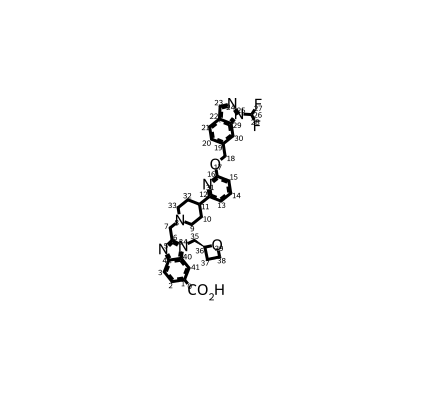 O=C(O)c1ccc2nc(CN3CCC(c4cccc(OCc5ccc6cnn(C(F)F)c6c5)n4)CC3)n(C[C@@H]3CCO3)c2c1